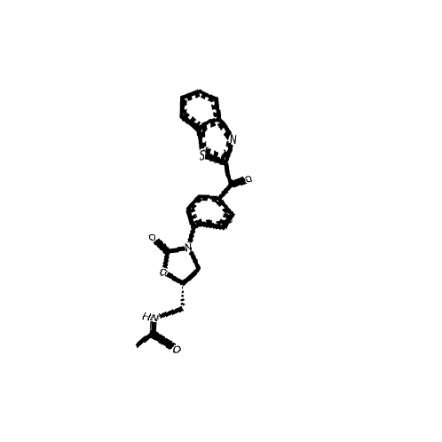 CC(=O)NC[C@H]1CN(c2ccc(C(=O)c3nc4ccccc4s3)cc2)C(=O)O1